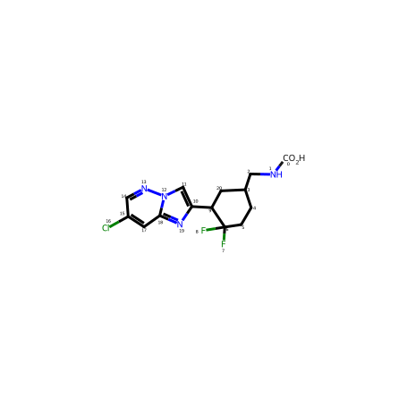 O=C(O)NCC1CCC(F)(F)C(c2cn3ncc(Cl)cc3n2)C1